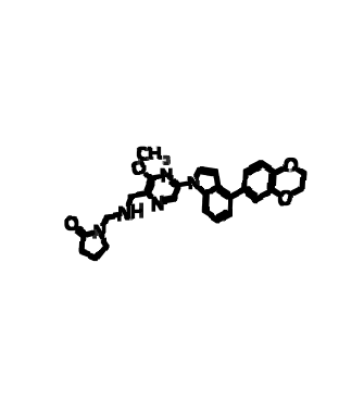 COc1nc(-n2ccc3c(-c4ccc5c(c4)OCCO5)cccc32)cnc1CNCN1CCCC1=O